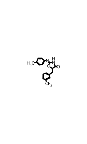 Cc1ccc(/N=C2/NC(=O)C(Cc3cccc(C(F)(F)F)c3)O2)cc1